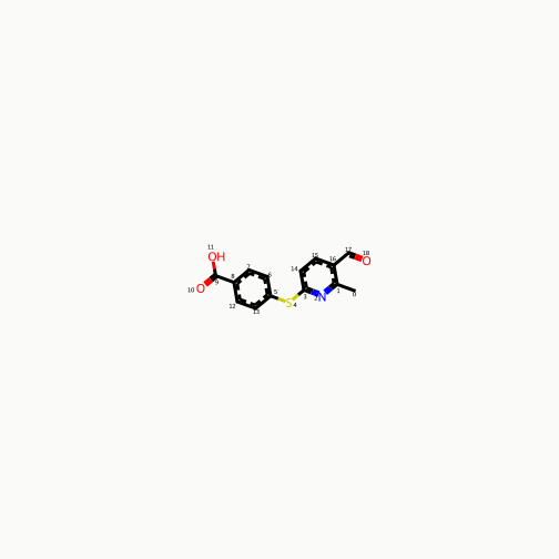 Cc1nc(Sc2ccc(C(=O)O)cc2)ccc1C=O